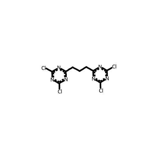 Clc1nc(Cl)nc(CCCc2nc(Cl)nc(Cl)n2)n1